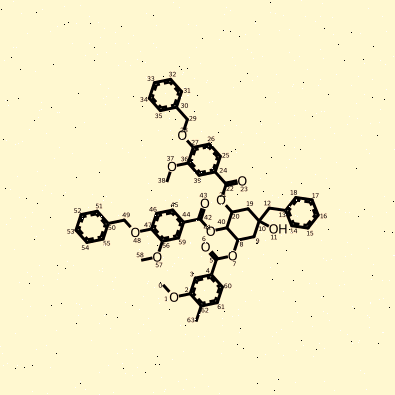 COc1cc(C(=O)OC2CC(O)(Cc3ccccc3)CC(OC(=O)c3ccc(OCc4ccccc4)c(OC)c3)C2OC(=O)c2ccc(OCc3ccccc3)c(OC)c2)ccc1C